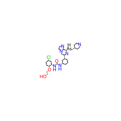 O=C(Nc1cccc(-c2cn3ccnc3c([AsH]Cc3ccncc3)n2)c1)Nc1cc(Cl)ccc1OCCO